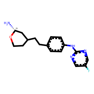 N[C@@H]1CC(CCc2ccc(Nc3ncc(F)cn3)cc2)CCO1